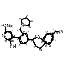 COc1cc(-c2ccc(C3CCc4ccc(CC(C)C)cc4O3)cc2CN2CCCC2)c(C#N)cn1